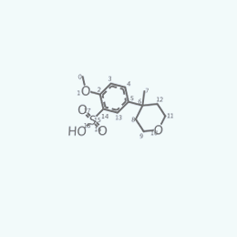 COc1ccc(C2(C)CCOCC2)cc1S(=O)(=O)O